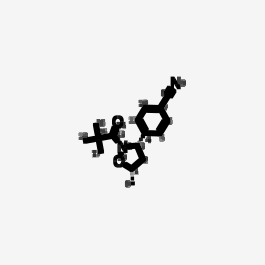 C[C@H]1C[C@@H](c2ccc(C#N)cc2)N(C(=O)C(C)(C)C)O1